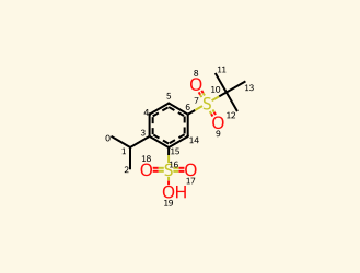 CC(C)c1ccc(S(=O)(=O)C(C)(C)C)cc1S(=O)(=O)O